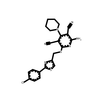 N#Cc1c(N)nc(SCc2csc(-c3ccc(Cl)cc3)n2)c(C#N)c1N1CCCCC1